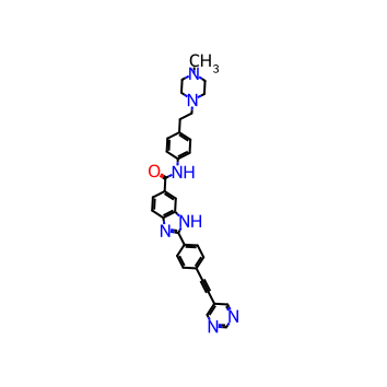 CN1CCN(CCc2ccc(NC(=O)c3ccc4nc(-c5ccc(C#Cc6cncnc6)cc5)[nH]c4c3)cc2)CC1